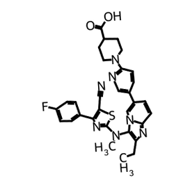 CCc1nc2ccc(-c3ccc(N4CCC(C(=O)O)CC4)nc3)cn2c1N(C)c1nc(-c2ccc(F)cc2)c(C#N)s1